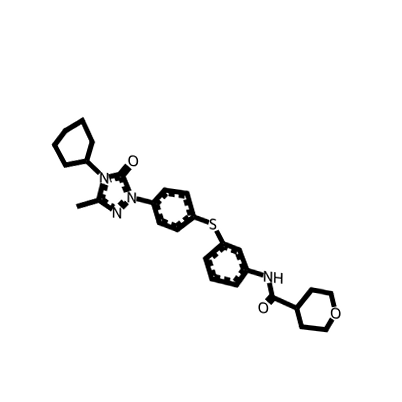 Cc1nn(-c2ccc(Sc3cccc(NC(=O)C4CCOCC4)c3)cc2)c(=O)n1C1CCCCC1